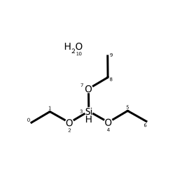 CCO[SiH](OCC)OCC.O